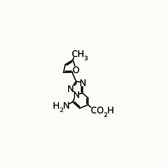 Cc1ccc(-c2nc3cc(C(=O)O)cc(N)n3n2)o1